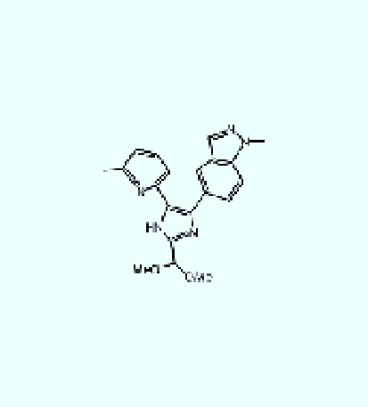 COC(OC)c1nc(-c2ccc3c(cnn3C)c2)c(-c2cccc(C)n2)[nH]1